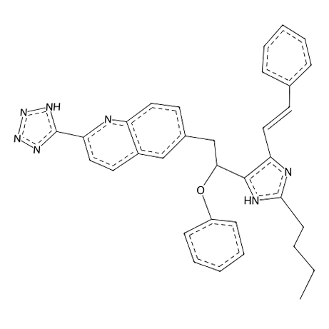 CCCCc1nc(C=Cc2ccccc2)c(C(Cc2ccc3nc(-c4nnn[nH]4)ccc3c2)Oc2ccccc2)[nH]1